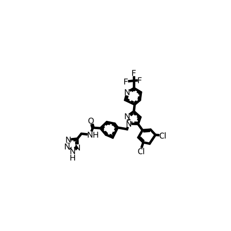 O=C(NCc1nn[nH]n1)c1ccc(Cn2nc(-c3ccc(C(F)(F)F)nc3)cc2C2=CC(Cl)CC(Cl)=C2)cc1